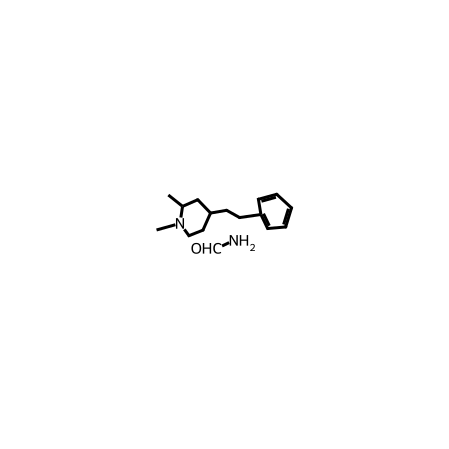 CC1CC(CCc2ccccc2)CCN1C.NC=O